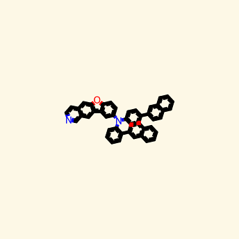 c1ccc(N(c2ccc(-c3ccc4ccccc4c3)cc2)c2ccc3oc4cc5ccncc5cc4c3c2)c(-c2ccc3ccccc3c2)c1